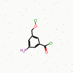 O=C(Cl)c1cc(P)cc(COCl)c1